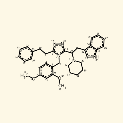 COc1ccc(Cn2c(CCc3ccccc3)nnc2C(Cc2c[nH]c3ccccc23)N2CCCCC2)c(OC)c1